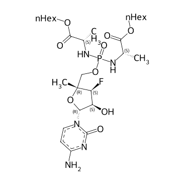 CCCCCCOC(=O)[C@H](C)NP(=O)(N[C@@H](C)C(=O)OCCCCCC)OC[C@@]1(C)O[C@@H](n2ccc(N)nc2=O)[C@H](O)[C@@H]1F